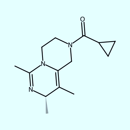 CC1=N[C@@H](C)C(C)=C2CN(C(=O)C3CC3)CCN12